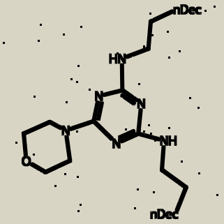 CCCCCCCCCCCCNc1nc(NCCCCCCCCCCCC)nc(N2CCOCC2)n1